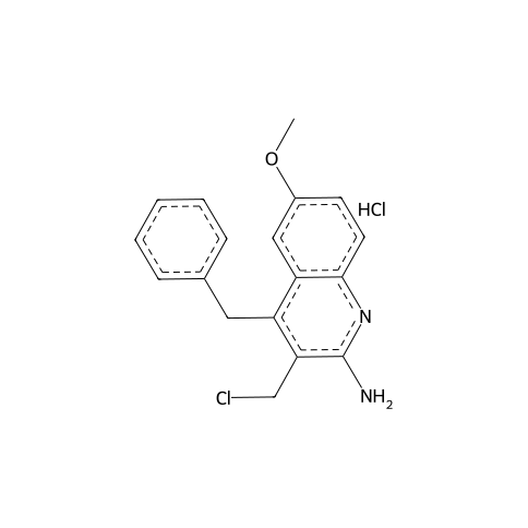 COc1ccc2nc(N)c(CCl)c(Cc3ccccc3)c2c1.Cl